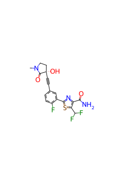 CN1CC[C@@](O)(C#Cc2ccc(F)c(-c3nc(C(N)=O)c(C(F)F)s3)c2)C1=O